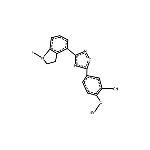 CC(C)Oc1ccc(-c2nc(-c3cccc4c3CCN4F)no2)cc1C#N